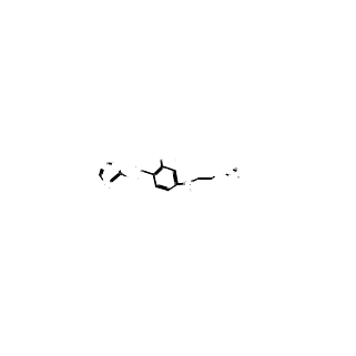 Cc1cc(N(C)CCOS(=O)(=O)O)ccc1/N=N/c1ncns1